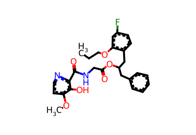 CCCOc1cc(F)ccc1CC(Cc1ccccc1)OC(=O)CNC(=O)c1nccc(OC)c1O